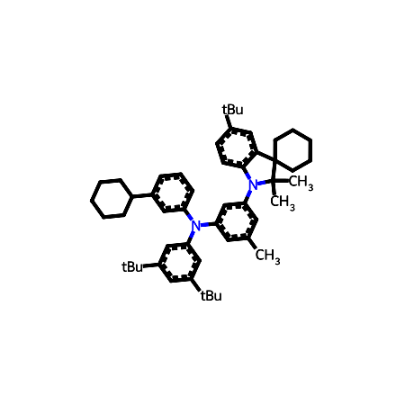 Cc1cc(N(c2cccc(C3CCCCC3)c2)c2cc(C(C)(C)C)cc(C(C)(C)C)c2)cc(N2c3ccc(C(C)(C)C)cc3C3(CCCCC3)C2(C)C)c1